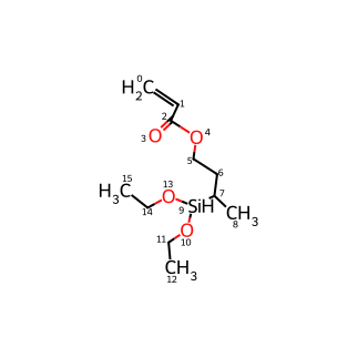 C=CC(=O)OCCC(C)[SiH](OCC)OCC